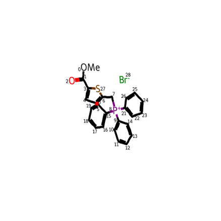 COC(=O)c1ccc(C[P+](c2ccccc2)(c2ccccc2)c2ccccc2)s1.[Br-]